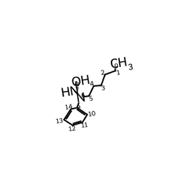 CCCCCCN(NO)c1ccccc1